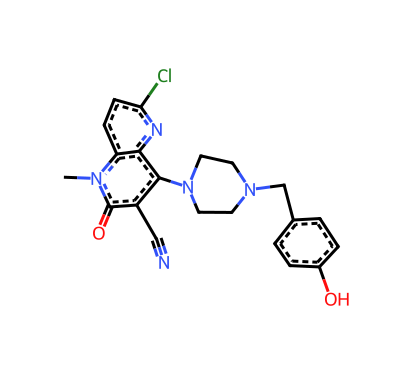 Cn1c(=O)c(C#N)c(N2CCN(Cc3ccc(O)cc3)CC2)c2nc(Cl)ccc21